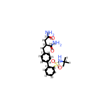 CC(C)(C)NS(=O)(=O)c1ccccc1-c1ccc(CC(CC(N)=O)C(N)=O)cc1